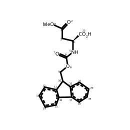 COC(=O)C[C@H](NC(=O)OCC1c2ccccc2-c2ccccc21)C(=O)O